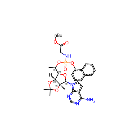 CCCCOC(=O)CNP(=O)(Oc1cccc2ccccc12)O[C@H](C)[C@H]1O[C@@H](n2ccc3c(N)ncnc32)[C@]2(C)OC(C)(C)O[C@H]12